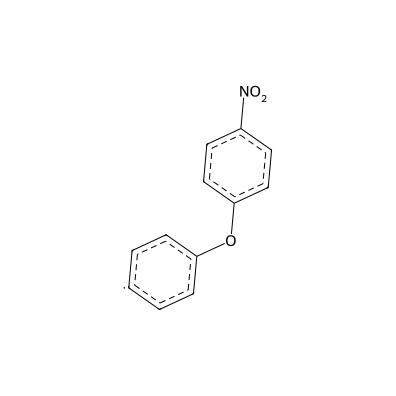 O=[N+]([O-])c1ccc(Oc2cc[c]cc2)cc1